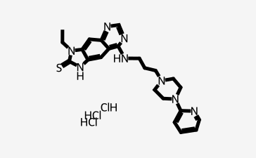 CCn1c(=S)[nH]c2cc3c(NCCCN4CCN(c5ccccn5)CC4)ncnc3cc21.Cl.Cl.Cl